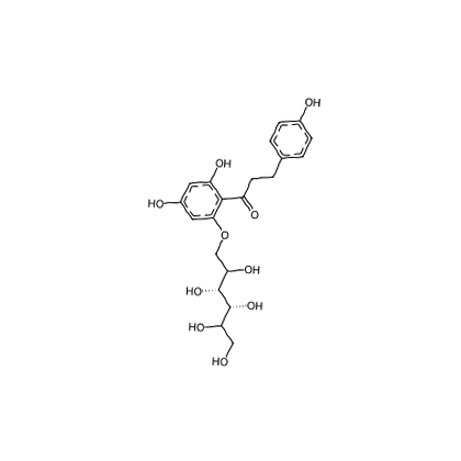 O=C(CCc1ccc(O)cc1)c1c(O)cc(O)cc1OCC(O)[C@@H](O)[C@H](O)C(O)CO